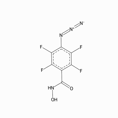 [N-]=[N+]=Nc1c(F)c(F)c(C(=O)NO)c(F)c1F